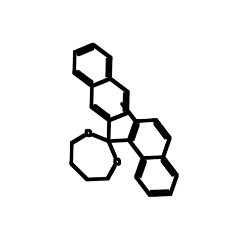 Cc1ccc2ccccc2c1C1(c2ccc3ccccc3c2)OCCCCO1